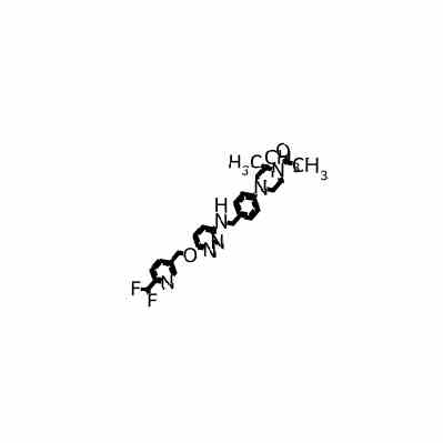 CC(=O)N1CCN(c2ccc(CNc3ccc(OCc4ccc(C(F)F)nc4)nn3)cc2)CC1(C)C